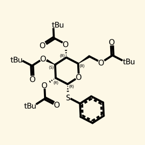 CC(C)(C)C(=O)OC[C@H]1O[C@H](Sc2ccccc2)[C@H](OC(=O)C(C)(C)C)[C@@H](OC(=O)C(C)(C)C)[C@@H]1OC(=O)C(C)(C)C